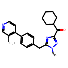 CCCn1nc(C(=O)C2CCCCC2)nc1Cc1ccc(-c2ccncc2C(=O)O)cc1